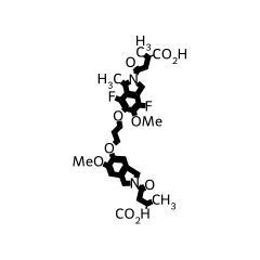 COc1cc2c(cc1OCCCOc1c(F)c3c(c(F)c1OC)CN(C(=O)C[C@H](C)C(=O)O)C3C)CN(C(=O)C[C@H](C)C(=O)O)C2